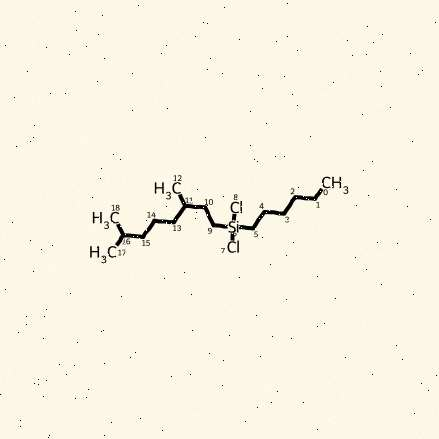 CCCCCC[Si](Cl)(Cl)CCC(C)CCCC(C)C